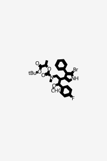 CC(OC(=O)N(C)CC(c1c[nH]c(Br)c1-c1ccccc1)C(OC=O)c1ccc(F)cc1)C(=O)OC(C)(C)C